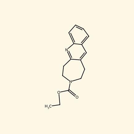 CCOC(=O)N1CCc2cc3ccccc3nc2CC1